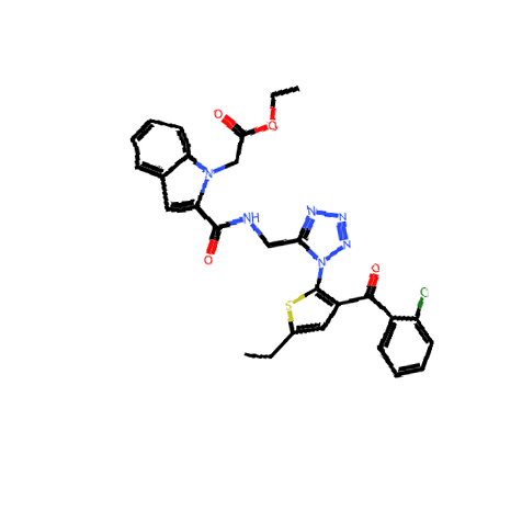 CCOC(=O)Cn1c(C(=O)NCc2nnnn2-c2sc(CC)cc2C(=O)c2ccccc2Cl)cc2ccccc21